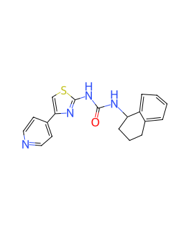 O=C(Nc1nc(-c2ccncc2)cs1)NC1CCCc2ccccc21